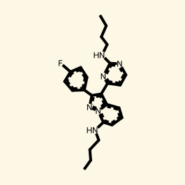 CCCCNc1nccc(-c2c(-c3ccc(F)cc3)nn3c(NCCCC)cccc23)n1